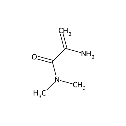 C=C(N)C(=O)N(C)C